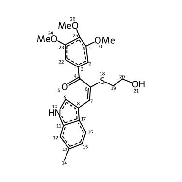 COc1cc(C(=O)/C(=C\c2c[nH]c3cc(C)ccc23)SCCO)cc(OC)c1OC